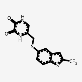 O=c1[nH]cc(CSc2ccc3sc(C(F)(F)F)cc3c2)[nH]c1=O